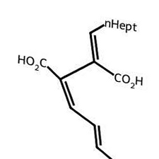 CC=CC=C(C(=O)O)C(=CCCCCCCC)C(=O)O